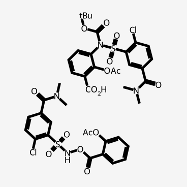 CC(=O)Oc1c(C(=O)O)cccc1N(C(=O)OC(C)(C)C)S(=O)(=O)c1cc(C(=O)N(C)C)ccc1Cl.CC(=O)Oc1ccccc1C(=O)ONS(=O)(=O)c1cc(C(=O)N(C)C)ccc1Cl